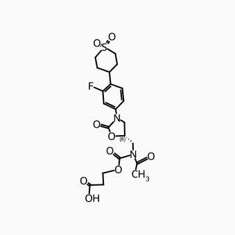 CC(=O)N(C[C@H]1CN(c2ccc(C3CCS(=O)(=O)CC3)c(F)c2)C(=O)O1)C(=O)OCCC(=O)O